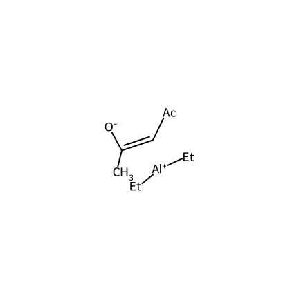 CC(=O)/C=C(/C)[O-].C[CH2][Al+][CH2]C